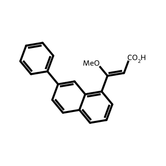 CO/C(=C\C(=O)O)c1cccc2ccc(-c3ccccc3)cc12